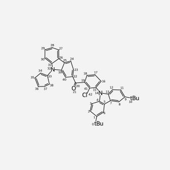 CC(C)(C)c1ccc2c(c1)c1cc(C(C)(C)C)ccc1n2-c1cccc(C(=O)c2ccc3c4ccccc4n(-c4ccccc4)c3c2)c1Cl